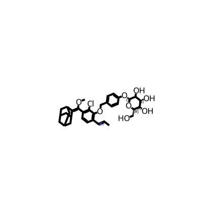 C/C=C/c1ccc(C(OC)=C2C3CC4CC(C3)CC2C4)c(Cl)c1OCc1ccc(O[C@@H]2O[C@H](CO)[C@H](O)[C@H](O)C2O)cc1